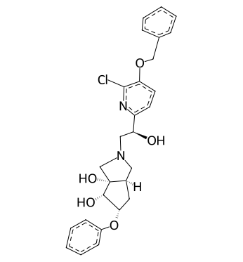 O[C@@H](CN1C[C@H]2C[C@H](Oc3ccccc3)[C@H](O)[C@@]2(O)C1)c1ccc(OCc2ccccc2)c(Cl)n1